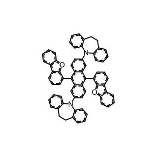 c1ccc2c(c1)CCc1ccccc1N2c1ccc2c(-c3cccc4c3oc3ccccc34)c3cc(N4c5ccccc5CCc5ccccc54)ccc3c(-c3cccc4c3oc3ccccc34)c2c1